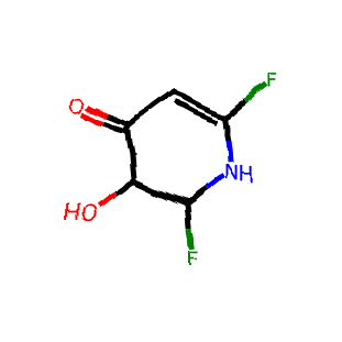 O=C1C=C(F)NC(F)C1O